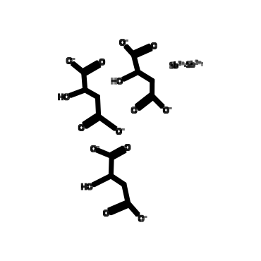 O=C([O-])CC(O)C(=O)[O-].O=C([O-])CC(O)C(=O)[O-].O=C([O-])CC(O)C(=O)[O-].[Sb+3].[Sb+3]